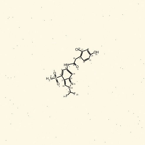 NS(=O)(=O)c1cc(NC(=O)Cc2ccc(O)cc2Cl)cc2nn(C(F)F)cc12